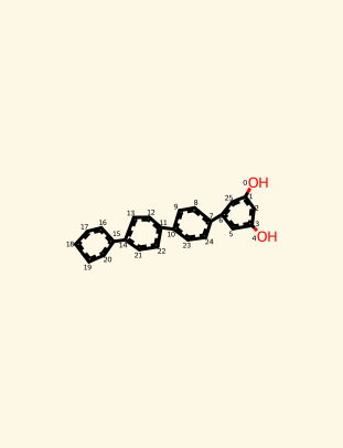 Oc1cc(O)cc(-c2ccc(-c3ccc(-c4ccccc4)cc3)cc2)c1